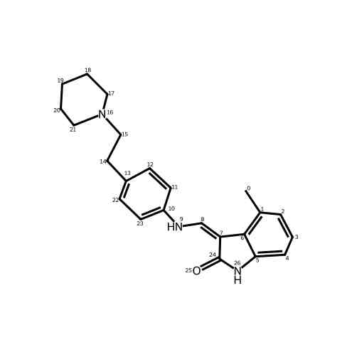 Cc1cccc2c1C(=CNc1ccc(CCN3CCCCC3)cc1)C(=O)N2